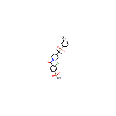 CC(C)(C)S(=O)(=O)c1ccc(C(=O)N2CCC(C(C)(C)S(=O)(=O)c3cccc(C(F)(F)F)c3)CC2)c(Br)c1